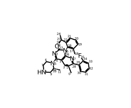 Cc1cc2c(N3CCNC[C@@H]3C)nc(=O)n(-c3c(C)cccc3C(C)C)c2nc1-c1ccccc1F